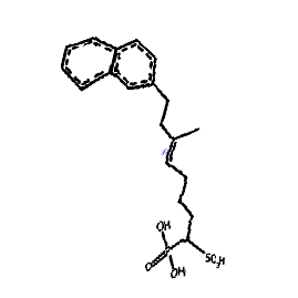 C/C(=C\CCCC(P(=O)(O)O)S(=O)(=O)O)CCc1ccc2ccccc2c1